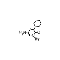 CC(C)n1cc(N)cc(C2CCCCC2)c1=O